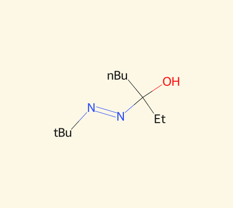 CCCCC(O)(CC)/N=N/C(C)(C)C